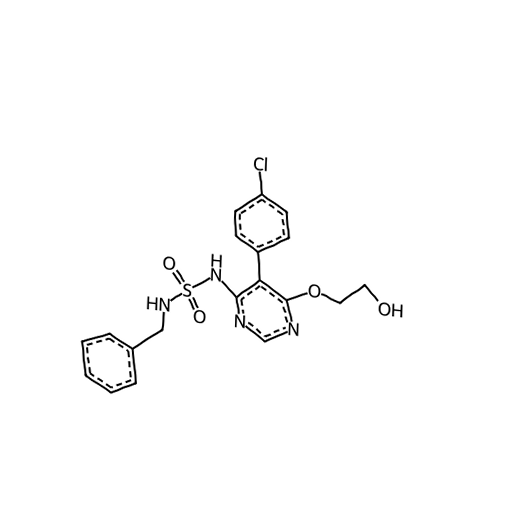 O=S(=O)(NCc1ccccc1)Nc1ncnc(OCCO)c1-c1ccc(Cl)cc1